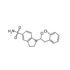 NS(=O)(=O)c1ccc2c(c1)CCN2C(Cl)Cc1ccccc1Cl